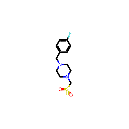 O=[SH](=O)CN1CCN(Cc2ccc(F)cc2)CC1